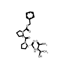 C[C@@H](O)[C@H](NC(=O)[C@@H]1CCCN1C(=O)[C@H]1CCCN1C(=O)OCc1ccccc1)C(N)=O